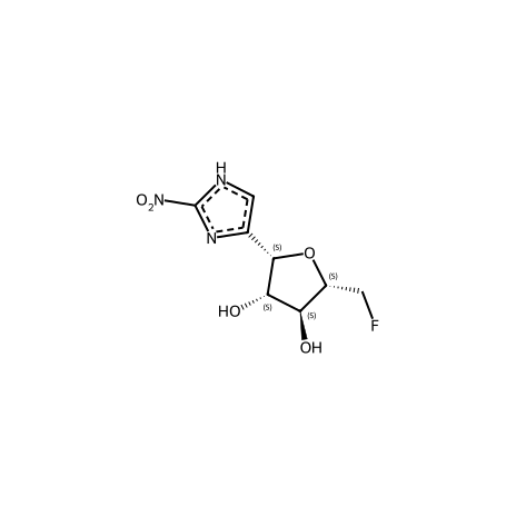 O=[N+]([O-])c1nc([C@@H]2O[C@H](CF)[C@@H](O)[C@@H]2O)c[nH]1